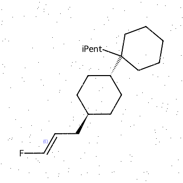 CCCC(C)C1([C@H]2CC[C@H](C/C=C/F)CC2)CCCCC1